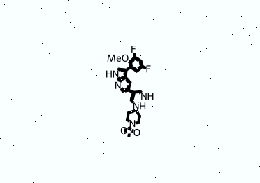 COc1c(F)cc(F)cc1-c1c[nH]c2ncc(/C(C=N)=C/NC3CCN(S(C)(=O)=O)CC3)cc12